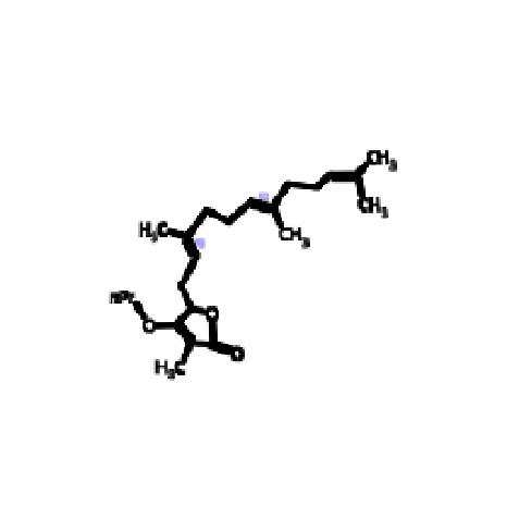 CCCOC1=C(C)C(=O)OC1C/C=C(\C)CC/C=C(\C)CCC=C(C)C